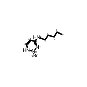 CCCCCNC1=NN(Br)NC=[C]1